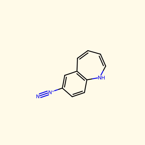 N#[N+]c1ccc2c(c1)C=CC=CN2